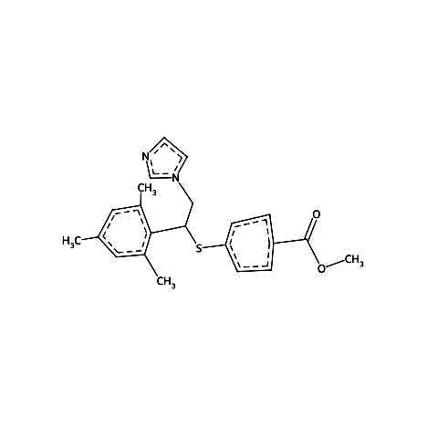 COC(=O)c1ccc(SC(Cn2ccnc2)c2c(C)cc(C)cc2C)cc1